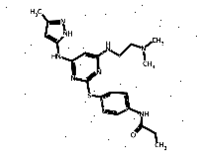 CCC(=O)Nc1ccc(Sc2nc(NCCN(C)C)cc(Nc3cc(C)n[nH]3)n2)cc1